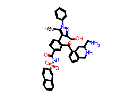 CCCCc1c(-c2ccc(C(=O)NS(=O)(=O)c3ccc4ccccc4c3)cc2C(=O)c2cccc3c2CC(CN)NC3)c(CO)nn1-c1ccccc1